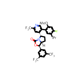 COc1cc(F)c(C(C)C)cc1-c1cnc(C(F)(F)F)cc1[C@@H]1CC[C@H]2[C@@H](c3cc(C(F)(F)F)cc(C(F)(F)F)c3)OC(=O)N12